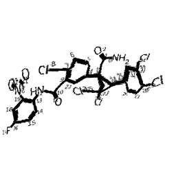 NC(=O)C1(c2ccc(Cl)c(C(=O)Nc3ccc(F)cc3[N+](=O)[O-])c2)C(c2ccc(Cl)c(Cl)c2)C1(Cl)Cl